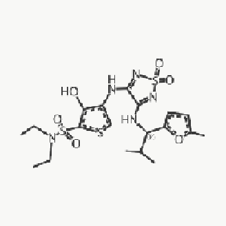 CCN(CC)S(=O)(=O)c1scc(NC2=NS(=O)(=O)N=C2N[C@@H](c2ccc(C)o2)C(C)C)c1O